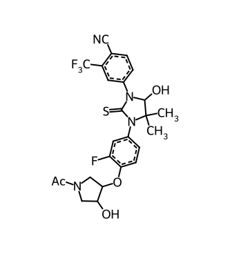 CC(=O)N1CC(O)C(Oc2ccc(N3C(=S)N(c4ccc(C#N)c(C(F)(F)F)c4)C(O)C3(C)C)cc2F)C1